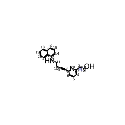 O/N=C/c1cccc(C#CCCNc2cccc3ccccc23)n1